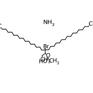 CCCCCCCCCCCCCCCCC(Br)(CCCCCCCCCCCCCCCC)C(CC)OC(C)O.N